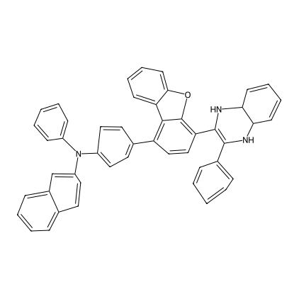 C1=CC2NC(c3ccccc3)=C(c3ccc(-c4ccc(N(c5ccccc5)c5ccc6ccccc6c5)cc4)c4c3oc3ccccc34)NC2C=C1